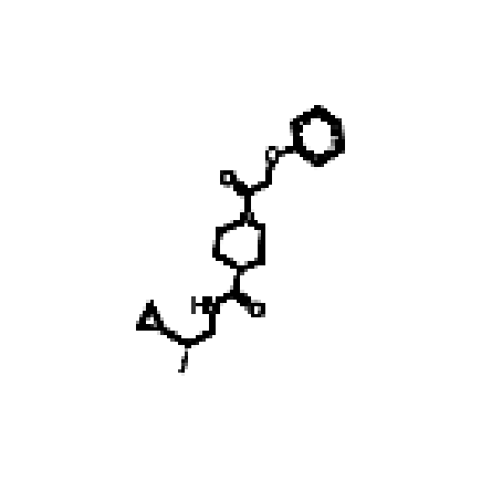 C[C@@H](CNC(=O)C1CCN(C(=O)COc2ccccc2)CC1)C1CC1